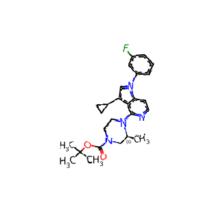 C[C@H]1CN(C(=O)OC(C)(C)C)CCN1c1nccc2c1c(C1CC1)cn2-c1cccc(F)c1